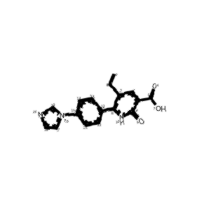 CCc1cc(C(=O)O)c(=O)[nH]c1-c1ccc(-n2ccnc2)cc1